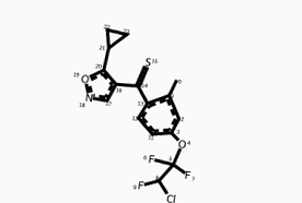 Cc1cc(OC(F)(F)C(F)Cl)ccc1C(=S)c1cnoc1C1CC1